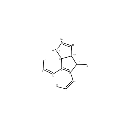 C/C=C\C1=C(/C=C\C)C2NN=CC2C1C